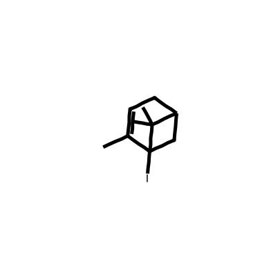 CC1=CCC2CC1(I)C2(C)C